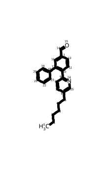 CCCCCCc1ccc(-c2ccc(C=O)cc2-c2ccccc2)nc1